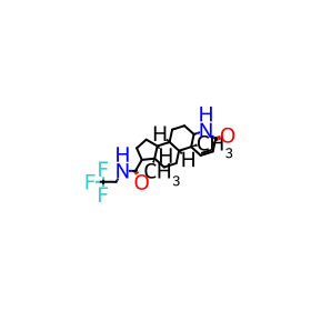 C[C@]12C=CC(=O)NC1CC[C@@H]1[C@H]2CC[C@]2(C)C(C(=O)NCC(F)(F)F)CC[C@@H]12